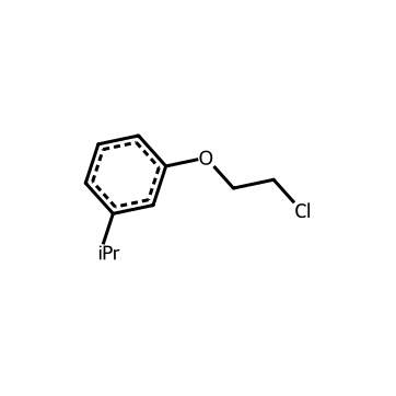 [CH2]C(C)c1cccc(OCCCl)c1